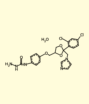 NNC(=O)Nc1ccc(OCC2COC(Cn3ccnc3)(c3ccc(Cl)cc3Cl)O2)cc1.O